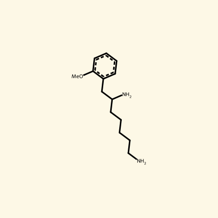 COc1ccccc1CC(N)CCCCCN